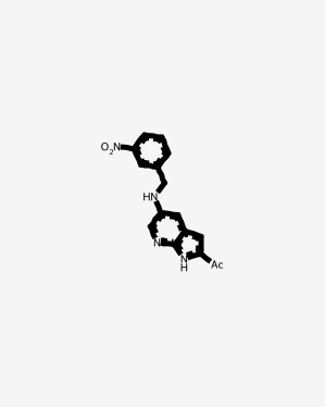 CC(=O)c1cc2cc(NCc3cccc([N+](=O)[O-])c3)cnc2[nH]1